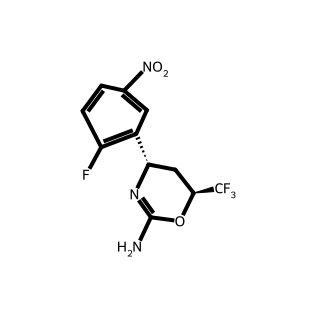 NC1=N[C@H](c2cc([N+](=O)[O-])ccc2F)C[C@@H](C(F)(F)F)O1